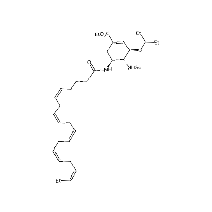 CC/C=C\C/C=C\C/C=C\C/C=C\C/C=C\CCCC(=O)N[C@H]1CC(C(=O)OCC)=C[C@@H](OC(CC)CC)[C@@H]1NC(C)=O